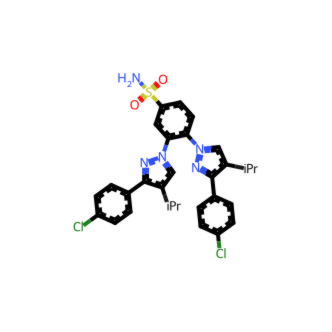 CC(C)c1cn(-c2ccc(S(N)(=O)=O)cc2-n2cc(C(C)C)c(-c3ccc(Cl)cc3)n2)nc1-c1ccc(Cl)cc1